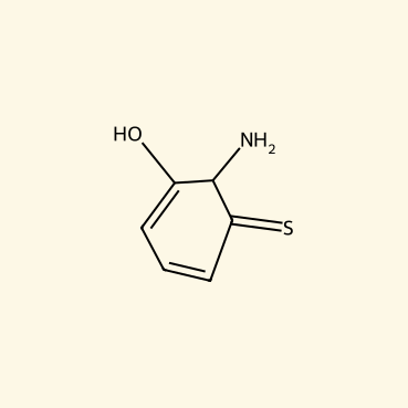 NC1C(=S)C=CC=C1O